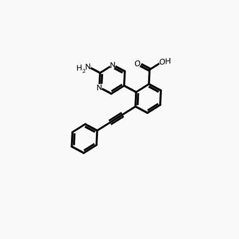 Nc1ncc(-c2c(C#Cc3ccccc3)cccc2C(=O)O)cn1